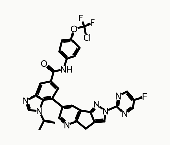 CC(C)n1cnc2cc(C(=O)Nc3ccc(OC(F)(F)Cl)cc3)cc(-c3cnc4c(c3)-c3nn(-c5ncc(F)cn5)cc3C4)c21